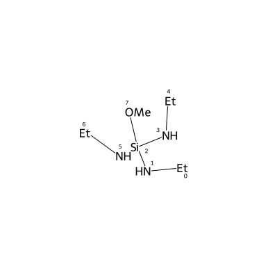 CCN[Si](NCC)(NCC)OC